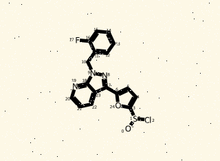 [O-][S+](Cl)c1ccc(-c2nn(Cc3ccccc3F)c3ncccc23)o1